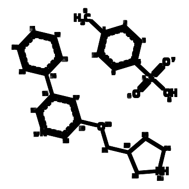 Cc1ccc(S(=O)(=O)O)cc1.c1ccc(-c2cncc(OCC3CCNC3)c2)cc1